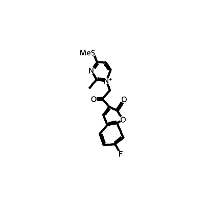 CSc1cc[n+](CC(=O)c2cc3ccc(F)cc3oc2=O)c(C)n1